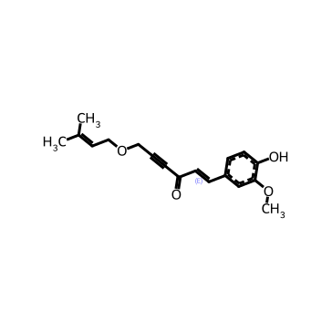 COc1cc(/C=C/C(=O)C#CCOCC=C(C)C)ccc1O